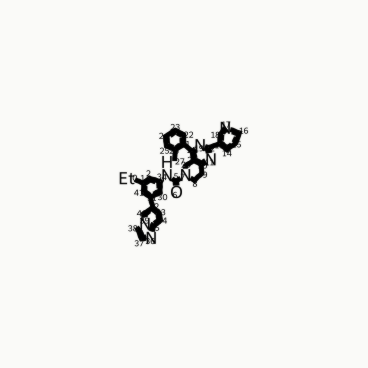 CCc1cc(NC(=O)N2CCc3nc(-c4cccnc4)nc(-c4ccccc4C)c3C2)cc(-c2ccc3nccn3c2)c1